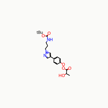 CC(O)C(=O)OOc1ccc(-c2cnn(CCCNC(=O)OC(C)(C)C)c2)cc1